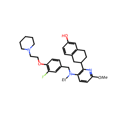 CCN(Cc1ccc(OCCN2CCCCC2)c(F)c1)c1ccc(OC)nc1C1CCc2cc(O)ccc2C1